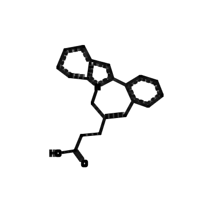 O=C(O)CCC1=Cc2ccccc2-c2cc3ccccc3n2C1